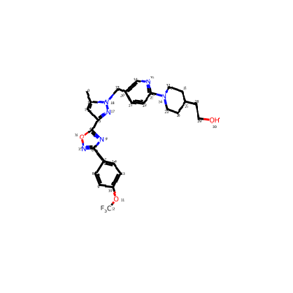 Cc1cc(-c2nc(-c3ccc(OC(F)(F)F)cc3)no2)nn1Cc1ccc(N2CCC(CCO)CC2)nc1